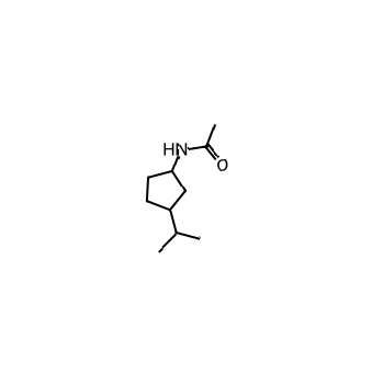 CC(=O)NC1CCC(C(C)C)C1